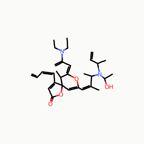 C=C/C=C\C1=CC(=O)OC12C=C(/C=C(/C)C(C)N(C(C)O)C(C)C=C)O/C(=C/C(=C)N(CC)CC)C2C